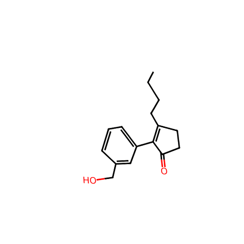 CCCCC1=C(c2cccc(CO)c2)C(=O)CC1